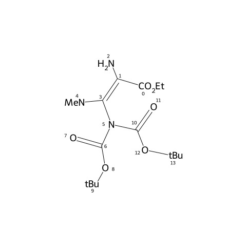 CCOC(=O)/C(N)=C(/NC)N(C(=O)OC(C)(C)C)C(=O)OC(C)(C)C